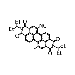 [C-]#[N+]c1cc2c3c(ccc4c5c(C)cc6c7c(ccc(c1c34)c75)C(=O)N(C(CC)CC)C6=O)C(=O)N(C(CC)CC)C2=O